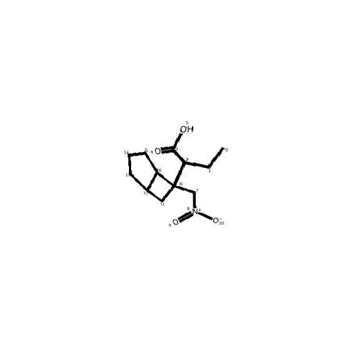 CCC(C(=O)O)C1(C[N+](=O)[O-])CC2CCCC21